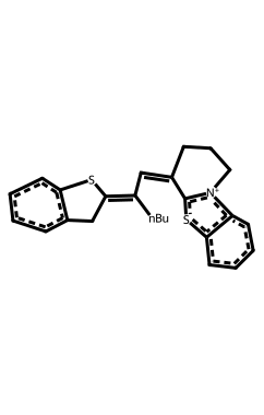 CCCCC(/C=C1/CCC[n+]2c1sc1ccccc12)=C1\Cc2ccccc2S1